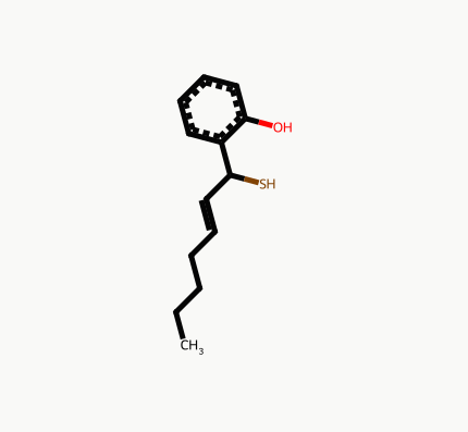 CCCCC=CC(S)c1ccccc1O